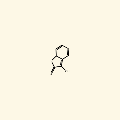 OC1=C2C=CC=CC2SC1=S